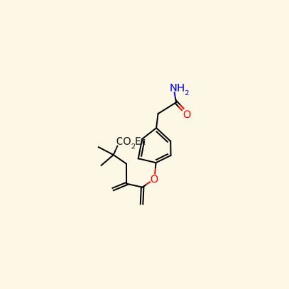 C=C(CC(C)(C)C(=O)OCC)C(=C)Oc1ccc(CC(N)=O)cc1